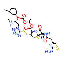 CC1CCCC(OC(=O)OC(C)OC(=O)C2=C(CSc3nnnn3CCN(C)C)CS[C@@H]3[C@H](NC(=O)Cc4csc(N)n4)C(=O)N23)C1